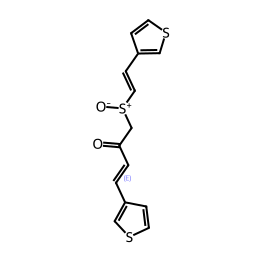 O=C(/C=C/c1ccsc1)C[S+]([O-])C=Cc1ccsc1